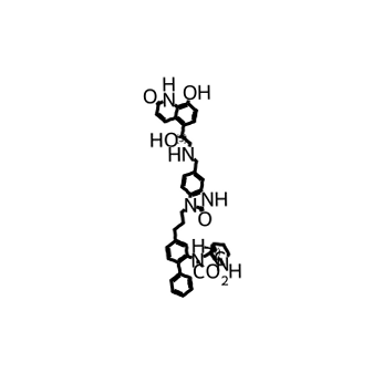 O=C(O)N(c1cc(CCCn2c(=O)[nH]c3cc(CNC[C@@H](O)c4ccc(O)c5[nH]c(=O)ccc45)ccc32)ccc1-c1ccccc1)[C@H]1CN2CCC1CC2